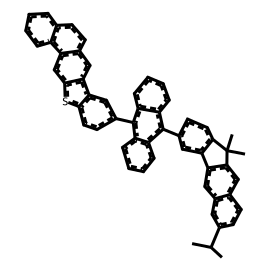 CC(C)c1ccc2cc3c(cc2c1)-c1cc(-c2c4ccccc4c(-c4ccc5sc6cc7c(ccc8ccccc87)cc6c5c4)c4ccccc24)ccc1C3(C)C